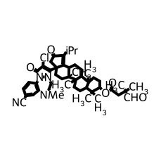 CNCCn1c(C23CC[C@]4(C)C(CCC5C6(C)CCC(OC(=O)CC(C)(C)C=O)C(C)(C)C6CCC54C)C2=C(C(C)C)C(=O)C3)c(Cl)c(=O)n1-c1ccc(C#N)cc1